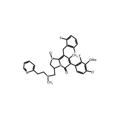 COc1c(Cl)ccc(-c2c(C)c(Cc3c(F)cccc3F)c3n(c2=O)C(CN(C)CCc2ccccn2)C[S+]3[O-])c1F